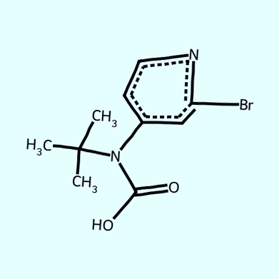 CC(C)(C)N(C(=O)O)c1ccnc(Br)c1